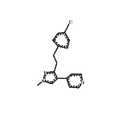 Cn1cc(-c2ccncc2)c(CCc2ccc(Cl)cc2)n1